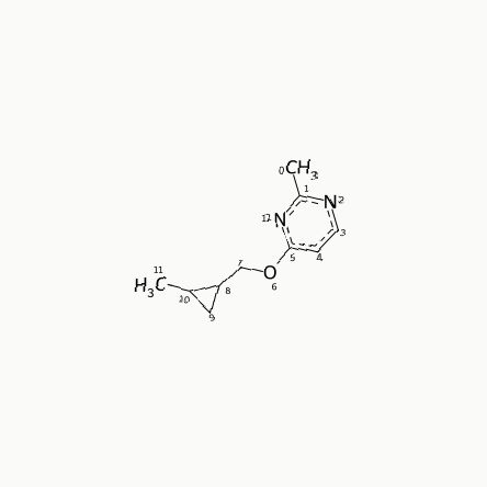 Cc1nccc(OCC2CC2C)n1